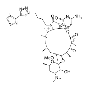 CC[C@H]1OC(=O)C(C)(F)C(=O)[C@@H](C)[C@@H](O[C@@H]2O[C@H](C)CC(N(C)C)C2O)[C@](C)(OC)C[C@@H](C)CN(C)[C@H](C)[C@H]2N(CCCCn3cc(-c4nccs4)nn3)C(=O)O[C@]12n1ccc(N)nc1=O